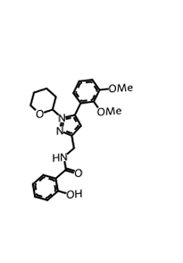 COc1cccc(-c2cc(CNC(=O)c3ccccc3O)nn2C2CCCCO2)c1OC